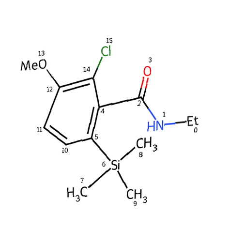 CCNC(=O)c1c([Si](C)(C)C)ccc(OC)c1Cl